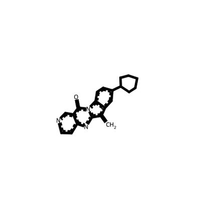 C=c1c2cc(C3CCCCC3)ccc2n2c(=O)c3cnccc3nc12